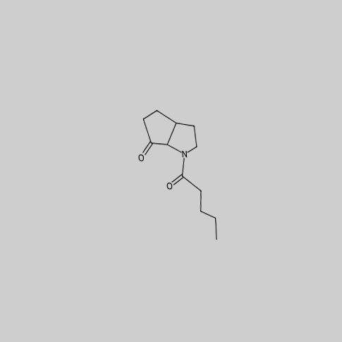 CCCCC(=O)N1CCC2CCC(=O)C21